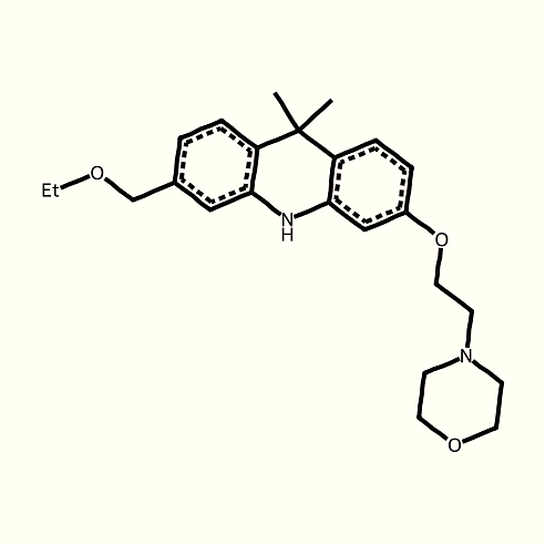 CCOCc1ccc2c(c1)Nc1cc(OCCN3CCOCC3)ccc1C2(C)C